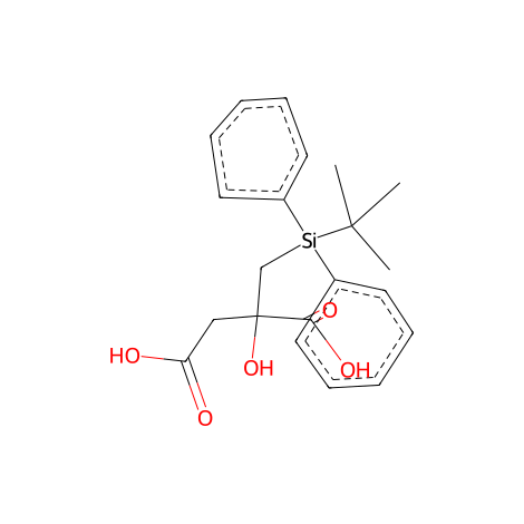 CC(C)(C)[Si](CC(O)(CC(=O)O)C(=O)O)(c1ccccc1)c1ccccc1